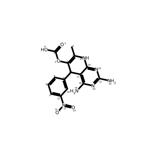 CC1=C(OC(=O)O)C(c2cccc([N+](=O)[O-])c2)c2c(N)nc(N)nc2N1